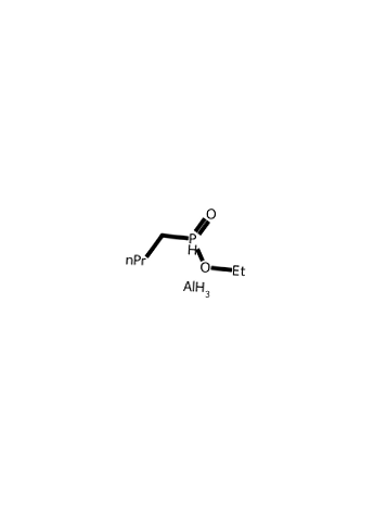 CCCC[PH](=O)OCC.[AlH3]